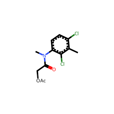 CC(=O)OCC(=O)N(C)c1ccc(Cl)c(C)c1Cl